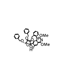 COc1nc(OC)c2cc(F)c([C@]3(O)O[C@H](COCc4ccccc4)[C@@H](OCc4ccccc4)[C@H]3OCc3ccccc3)cc2n1